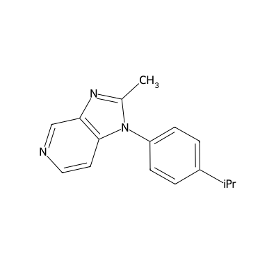 Cc1nc2cnccc2n1-c1ccc(C(C)C)cc1